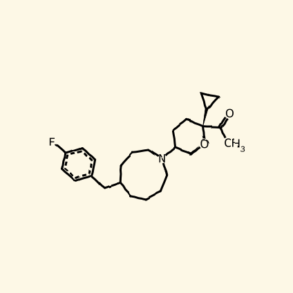 CC(=O)[C@@]1(C2CC2)CCC(N2CCCCC(Cc3ccc(F)cc3)CCC2)CO1